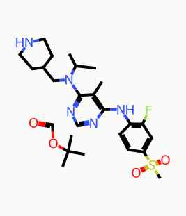 CC(C)(C)OC=O.Cc1c(Nc2ccc(S(C)(=O)=O)cc2F)ncnc1N(CC1CCNCC1)C(C)C